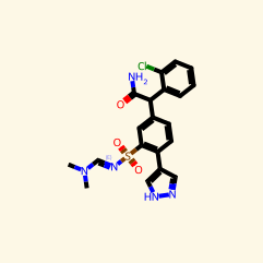 CN(C)/C=N/S(=O)(=O)c1cc(C(C(N)=O)c2ccccc2Cl)ccc1-c1cn[nH]c1